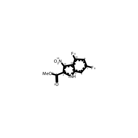 COC(=O)c1[nH]c2cc(F)cc(F)c2c1[N+](=O)[O-]